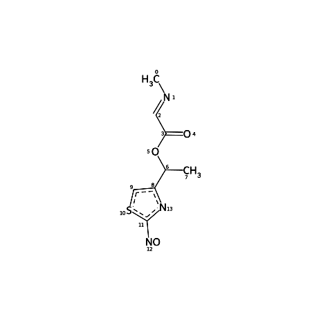 CN=CC(=O)OC(C)c1csc(N=O)n1